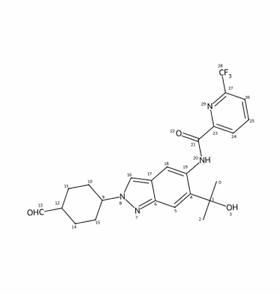 CC(C)(O)c1cc2nn(C3CCC(C=O)CC3)cc2cc1NC(=O)c1cccc(C(F)(F)F)n1